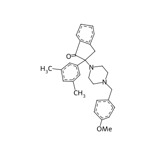 COc1ccc(CN2CCN(C3(c4cc(C)cc(C)c4)Cc4ccccc4C3=O)CC2)cc1